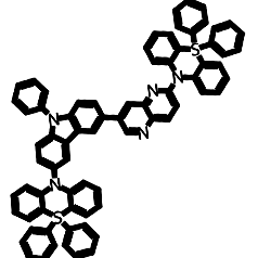 c1ccc(-n2c3ccc(-c4cnc5ccc(N6c7ccccc7S(c7ccccc7)(c7ccccc7)c7ccccc76)nc5c4)cc3c3cc(N4c5ccccc5S(c5ccccc5)(c5ccccc5)c5ccccc54)ccc32)cc1